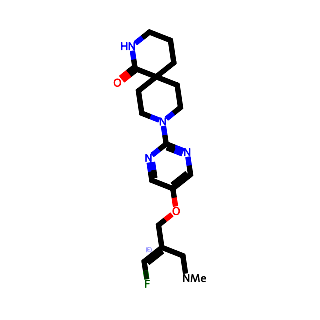 CNC/C(=C\F)COc1cnc(N2CCC3(CCCNC3=O)CC2)nc1